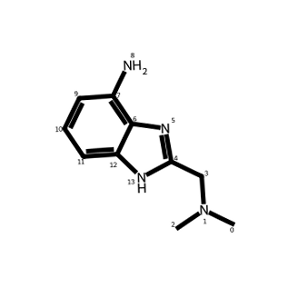 CN(C)Cc1nc2c(N)cccc2[nH]1